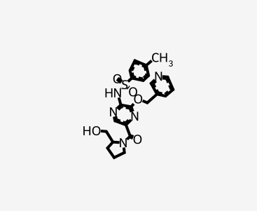 Cc1ccc(S(=O)(=O)Nc2ncc(C(=O)N3CCCC3CO)nc2OCc2cccnc2)cc1